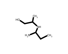 CCC(N)NC(C)CO